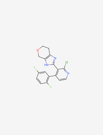 Fc1ccc(F)c(-c2ccnc(Cl)c2-c2nc3c([nH]2)COCC3)c1